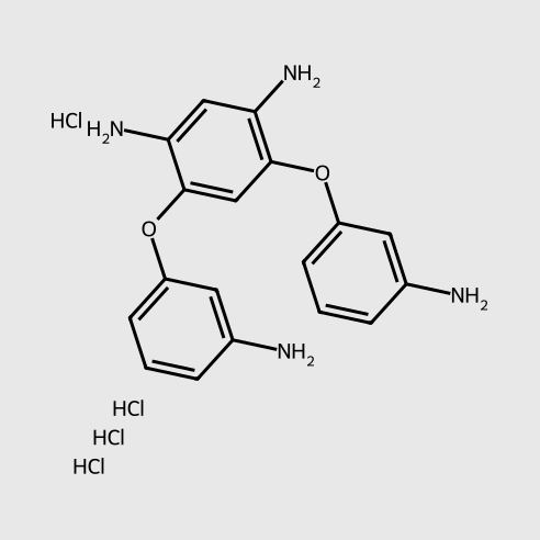 Cl.Cl.Cl.Cl.Nc1cccc(Oc2cc(Oc3cccc(N)c3)c(N)cc2N)c1